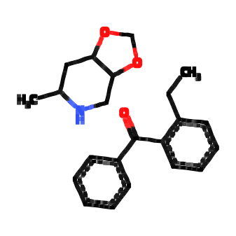 CC1CC2OCOC2CN1.CCc1ccccc1C(=O)c1ccccc1